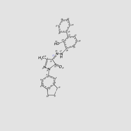 CC1=NN(c2ccc3c(c2)CCC3)C(=O)/C1=N\Nc1cccc(-c2ccccc2)c1O